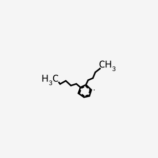 CCCCCc1[c]cccc1CCCCC